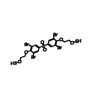 O=S(=O)(c1cc(Br)c(OCCOS)c(Br)c1)c1cc(Br)c(OCCOS)c(Br)c1